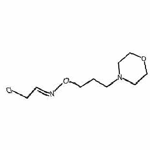 ClCC=NOCCCN1CCOCC1